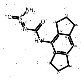 N/[SH](=O)=N\C(=O)Nc1c2c(cc3c1CCC3)CCC2